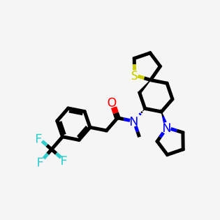 CN(C(=O)Cc1cccc(C(F)(F)F)c1)[C@@H]1C[C@@]2(CCCS2)CC[C@H]1N1CCCC1